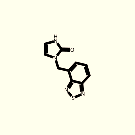 O=c1[nH]ccn1Cc1cccc2nsnc12